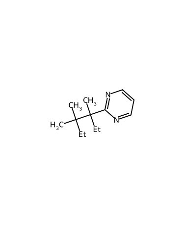 CCC(C)(C)C(C)(CC)c1ncccn1